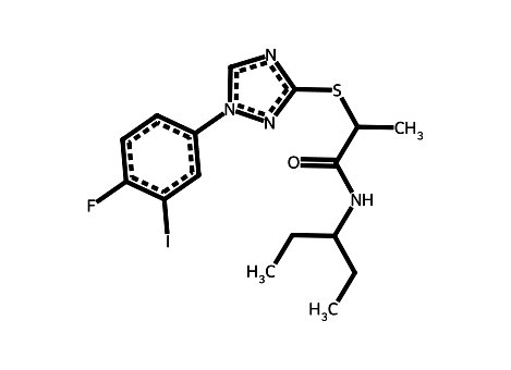 CCC(CC)NC(=O)C(C)Sc1ncn(-c2ccc(F)c(I)c2)n1